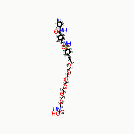 O=C(O)NCCOCCOCCOCCOCCOCCOCC#Cc1ccc(S(=O)(=O)NCc2ccc(C(=O)Nc3ccncc3)cc2)cc1